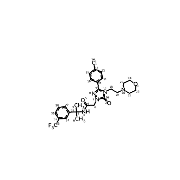 CC(C)(NC(=O)Cn1nc(-c2ccc(Cl)cc2)n(CCN2CCOCC2)c1=O)c1cccc(C(F)(F)F)c1